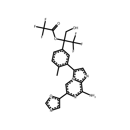 Cc1ccc(C(CO)(OC(=O)C(F)(F)F)C(F)(F)F)cc1-c1cnc2c(N)nc(-c3cnco3)cn12